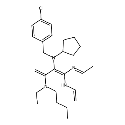 C=CNC(/N=C/C)=C(\C(=C)N(CC)CCCC)N(Cc1ccc(Cl)cc1)C1CCCC1